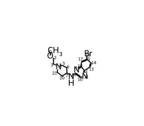 COCCN1CCC(Nc2cnc3ccc(Br)cc3n2)CC1